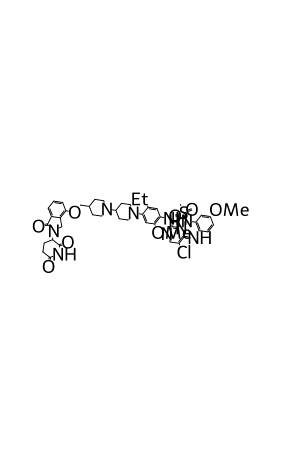 CCc1cc(Nc2ncc(Cl)c(Nc3ccc(OC)cc3NS(C)(=O)=O)n2)c(OC)cc1N1CCC(N2CCC(COc3cccc4c3CN(C3CCC(=O)NC3=O)C4=O)CC2)CC1